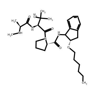 CCCCCCO[C@H]1Cc2ccccc2C1NC(=O)[C@@H]1CCCN1C(=O)[C@@H](NC(=O)[C@H](C)NC)C(C)(C)C